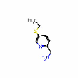 CCSc1ccc(CN)nc1